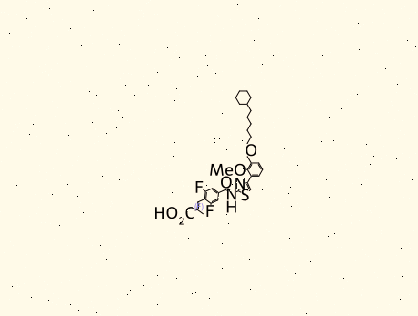 COc1c(COCCCCCCC2CCCCC2)cccc1-c1csc(NC(=O)c2cc(F)c(/C=C(\C)C(=O)O)c(F)c2)n1